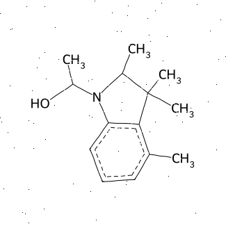 Cc1cccc2c1C(C)(C)C(C)N2C(C)O